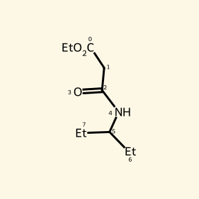 CCOC(=O)CC(=O)NC(CC)CC